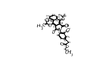 CCOC(=O)Cc1ccc(N2C(=O)c3c(c(OC(F)F)c4ccccc4c3OC(C)C)C2=O)c(Cl)c1